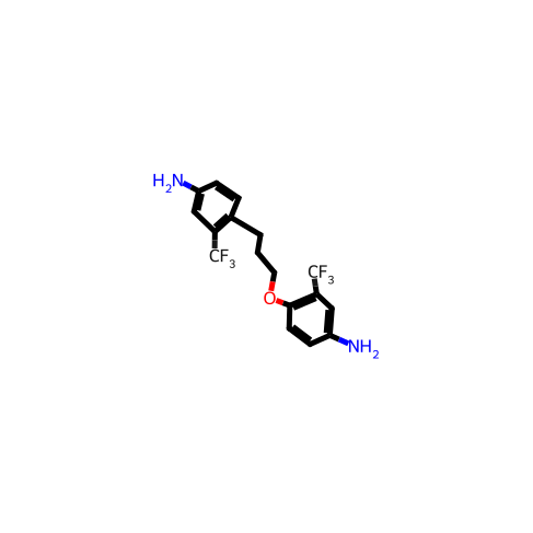 Nc1ccc(CCCOc2ccc(N)cc2C(F)(F)F)c(C(F)(F)F)c1